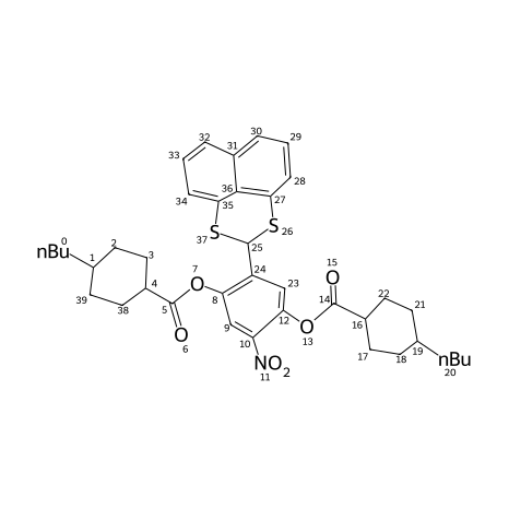 CCCCC1CCC(C(=O)Oc2cc([N+](=O)[O-])c(OC(=O)C3CCC(CCCC)CC3)cc2C2Sc3cccc4cccc(c34)S2)CC1